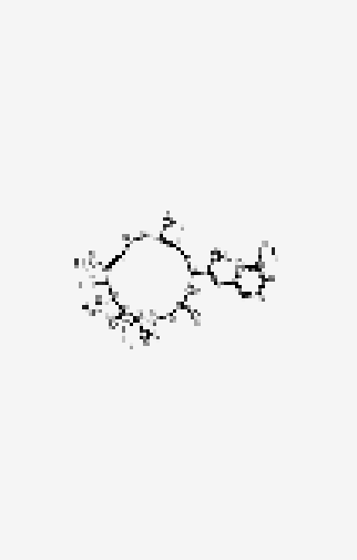 C/C1=C/CC(/C(C)=C/c2cccc(C)n2)OC(=O)CSC(C)(C)C(=O)[C@H](C)[C@@H](O)/C(C)=C/CC1